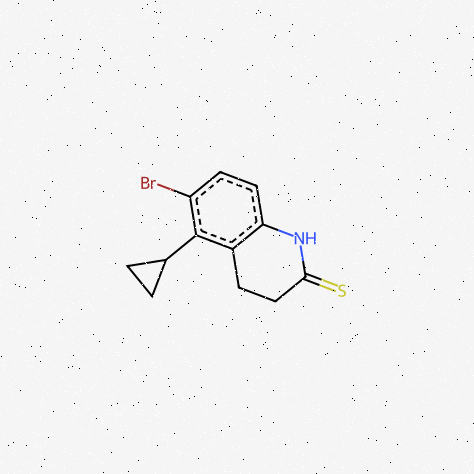 S=C1CCc2c(ccc(Br)c2C2CC2)N1